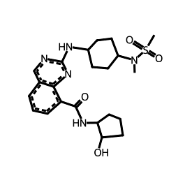 CN(C1CCC(Nc2ncc3cccc(C(=O)NC4CCCC4O)c3n2)CC1)S(C)(=O)=O